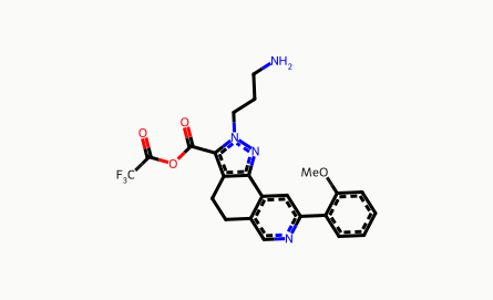 COc1ccccc1-c1cc2c(cn1)CCc1c-2nn(CCCN)c1C(=O)OC(=O)C(F)(F)F